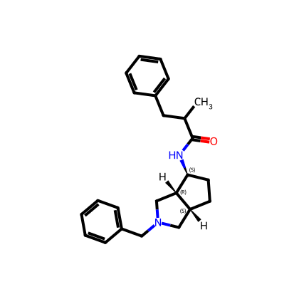 CC(Cc1ccccc1)C(=O)N[C@H]1CC[C@@H]2CN(Cc3ccccc3)C[C@@H]21